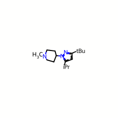 CC(C)c1cc(C(C)(C)C)nn1C1CCN(C)CC1